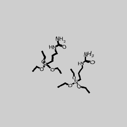 CCO[Si](CCCNC(N)=O)(OCC)OCC.CCO[Si](CCCNC(N)=O)(OCC)OCC